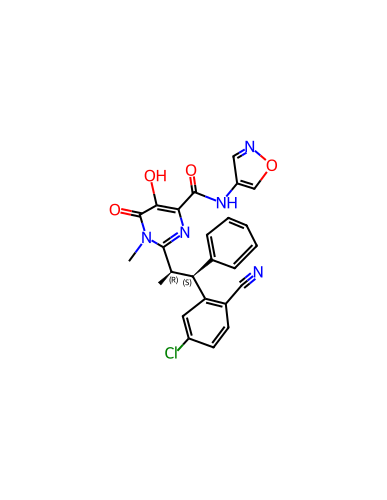 C[C@@H](c1nc(C(=O)Nc2cnoc2)c(O)c(=O)n1C)[C@@H](c1ccccc1)c1cc(Cl)ccc1C#N